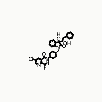 O=C(N[C@H]1CC[C@H](CN2C(=O)C(O)(C(O)Cc3ccccc3)c3ccccc32)CC1)c1cc(Cl)cnc1C(F)F